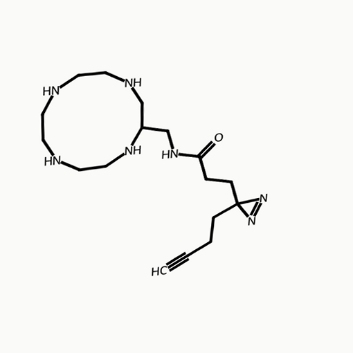 C#CCCC1(CCC(=O)NCC2CNCCNCCNCCN2)N=N1